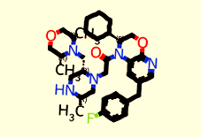 C[C@@H]1CN(CC(=O)N2c3cc(Cc4ccc(F)cc4)cnc3OC[C@@H]2C2CCCCC2)[C@@H](CN2[C@H](C)COC[C@H]2C)CN1